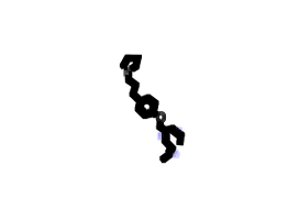 C\C=C/C=C(\C=C/C)COc1ccc(CCCN2CCCC2)cc1